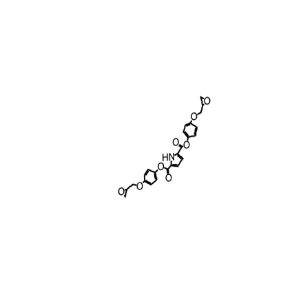 O=C(Oc1ccc(OCC2CO2)cc1)c1ccc(C(=O)Oc2ccc(OCC3CO3)cc2)[nH]1